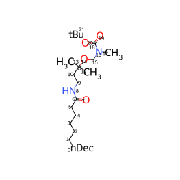 CCCCCCCCCCCCCCCC(=O)NCCC(C)(C)OCN(C)C(=O)OC(C)(C)C